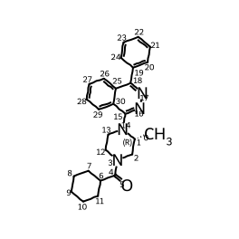 C[C@@H]1CN(C(=O)C2CCCCC2)CCN1c1nnc(-c2ccccc2)c2ccccc12